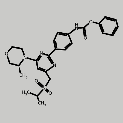 CC(C)S(=O)(=O)Cc1cc(N2CCOC[C@@H]2C)nc(-c2ccc(NC(=O)Oc3ccccc3)cc2)n1